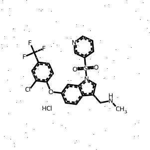 CNCc1cn(S(=O)(=O)c2cccnc2)c2cc(Oc3ccc(C(F)(F)F)cc3Cl)ccc12.Cl